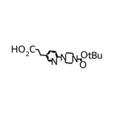 CC(C)(C)OC(=O)N1CCN(c2ccc(CCC(=O)O)cn2)CC1